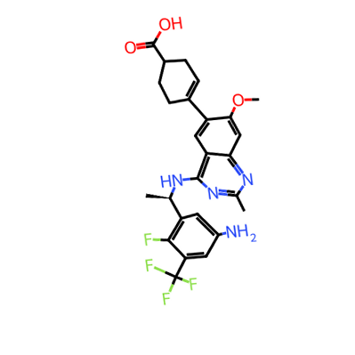 COc1cc2nc(C)nc(N[C@H](C)c3cc(N)cc(C(F)(F)F)c3F)c2cc1C1=CCC(C(=O)O)CC1